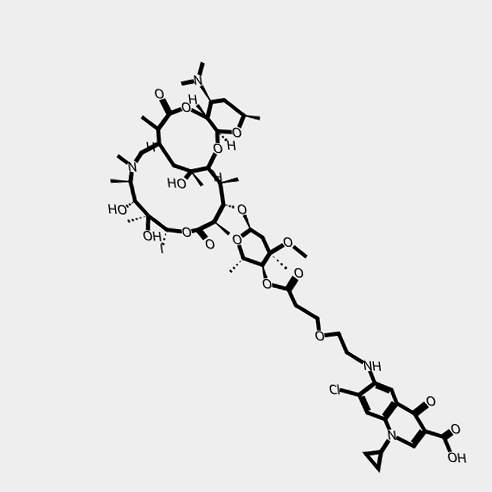 CO[C@]1(C)C[C@H](O[C@H]2[C@H](C)[C@H]3O[C@@H]4O[C@H](C)C[C@H](N(C)C)[C@H]4OC(=O)C(C)[C@@H](CN(C)[C@H](C)[C@@H](O)[C@](C)(O)[C@@H](I)OC(=O)[C@@H]2C)C[C@@]3(C)O)O[C@@H](C)[C@@H]1OC(=O)CCOCCNc1cc2c(=O)c(C(=O)O)cn(C3CC3)c2cc1Cl